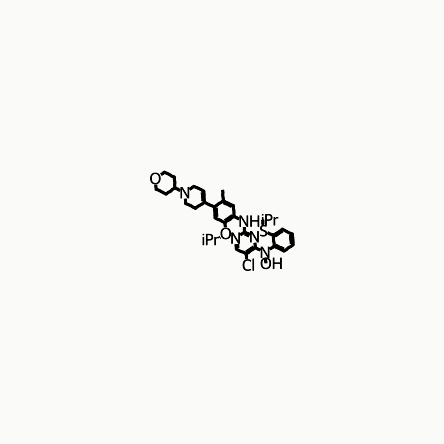 Cc1cc(Nc2ncc(Cl)c(N(O)c3ccccc3SC(C)C)n2)c(OC(C)C)cc1C1=CCN(C2CCOCC2)CC1